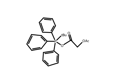 CC(=O)OCC(=O)OP(c1ccccc1)(c1ccccc1)(c1ccccc1)C(C)(C)C